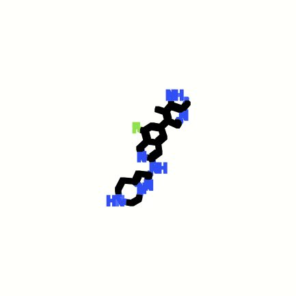 Cc1ncc(-c2cc(F)c3cnc(Nc4cc5n(n4)CCNCC5)cc3c2)c(C)c1N